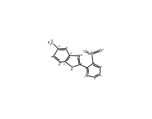 O=[SH](=O)c1cccnc1-c1nc2cc(C(F)(F)F)cnc2s1